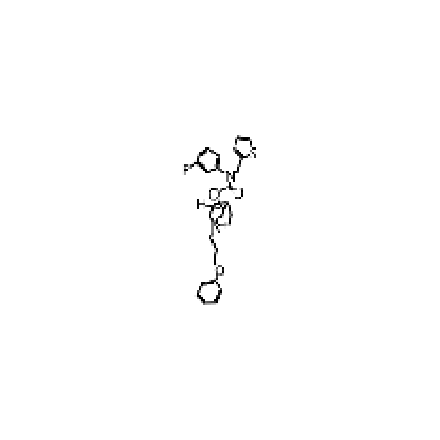 O=C(O[C@H]1C[N+]2(CCCOc3ccccc3)CCC1CC2)N(Cc1cccs1)c1cccc(F)c1